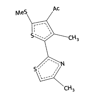 CSc1sc(-c2nc(C)cs2)c(C)c1C(C)=O